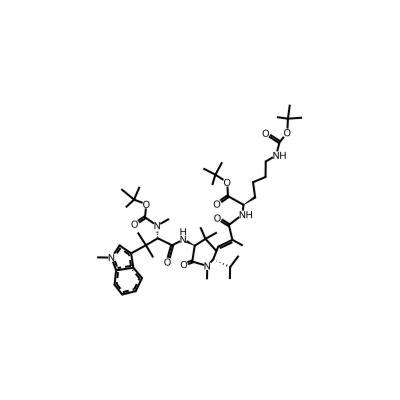 C/C(=C\[C@H](C(C)C)N(C)C(=O)[C@@H](NC(=O)[C@@H](N(C)C(=O)OC(C)(C)C)C(C)(C)c1cn(C)c2ccccc12)C(C)(C)C)C(=O)N[C@H](CCCCNC(=O)OC(C)(C)C)C(=O)OC(C)(C)C